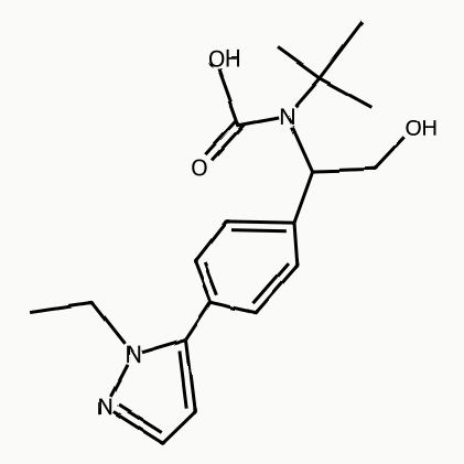 CCn1nccc1-c1ccc(C(CO)N(C(=O)O)C(C)(C)C)cc1